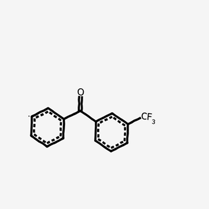 O=C(c1c[c]ccc1)c1cccc(C(F)(F)F)c1